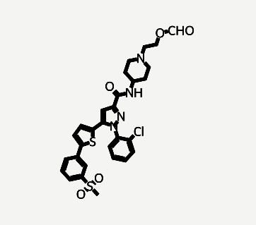 CS(=O)(=O)c1cccc(-c2ccc(-c3cc(C(=O)NC4CCN(CCOC=O)CC4)nn3-c3ccccc3Cl)s2)c1